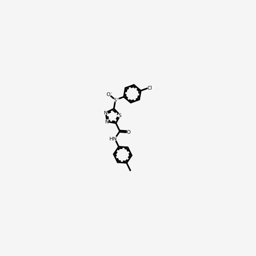 Cc1ccc(NC(=O)c2nnc([S+]([O-])c3ccc(Cl)cc3)s2)cc1